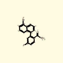 NC(=O)c1ccc(F)cc1-c1cccc2c(Br)cccc12